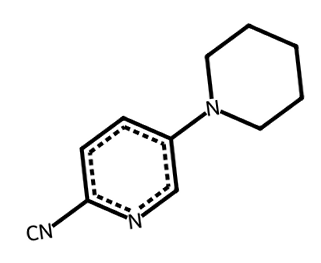 [C-]#[N+]c1ccc(N2CCCCC2)cn1